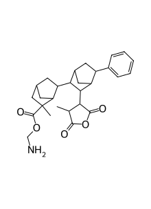 CC1C(=O)OC(=O)C1C1C2CC(CC2c2ccccc2)C1C1CC2CC1C(C)(C(=O)OCN)C2